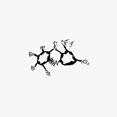 CCN(c1c([N+](=O)[O-])cc([N+](=O)[O-])cc1C(F)(F)F)c1c(Br)c(Br)c(Br)c(Br)c1Br